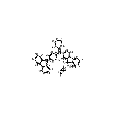 CCCCC1(CC2C3CC32)c2ccccc2-c2ccc(N(c3ccccc3)c3ccc(-n4c5ccccc5c5ccccc54)cc3)cc21